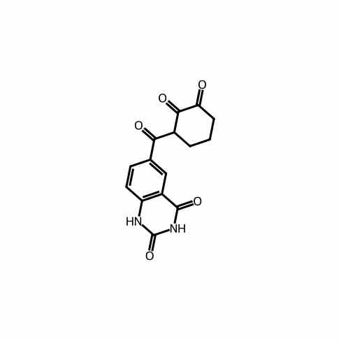 O=C1CCCC(C(=O)c2ccc3[nH]c(=O)[nH]c(=O)c3c2)C1=O